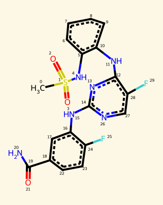 CS(=O)(=O)Nc1ccccc1Nc1nc(Nc2cc(C(N)=O)ccc2F)ncc1F